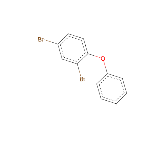 Brc1ccc(Oc2cc[c]cc2)c(Br)c1